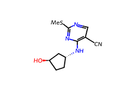 CSc1ncc(C#N)c(N[C@@H]2CC[C@@H](O)C2)n1